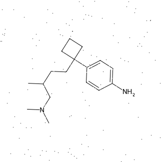 CC(CCC1(c2ccc(N)cc2)CCC1)CN(C)C